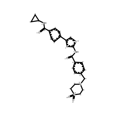 O=C(Nc1nc(-c2ccc(C(=O)NC3CC3)cc2)cs1)c1ccc(CN2CCS(=O)(=O)CC2)cc1